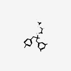 C[C@H](NC(=O)OC(C)(C)C)C(=O)NC(C)(Cc1ccc(Cl)cc1)Cc1cc(F)cc(F)c1